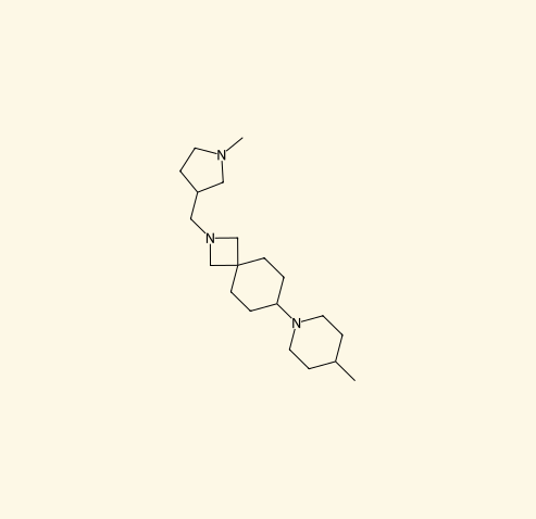 CC1CCN(C2CCC3(CC2)CN(CC2CCN(C)C2)C3)CC1